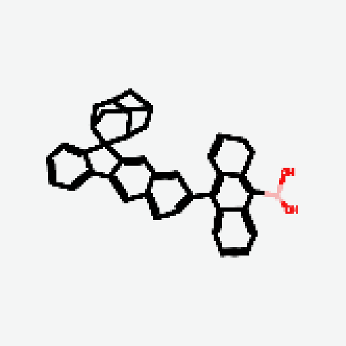 OB(O)c1c2c(c(-c3ccc4cc5c(cc4c3)C3(c4ccccc4-5)C4CC5CC(C4)CC3C5)c3ccccc13)C=CCC2